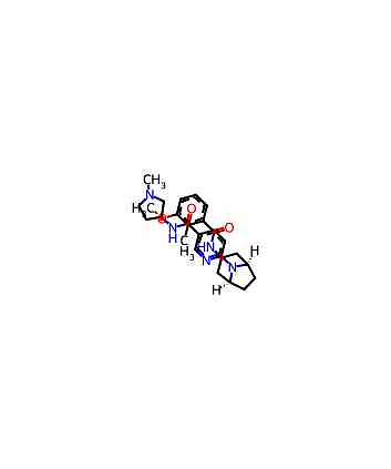 COc1cccc(C(=O)N[C@H]2C[C@H]3CC[C@@H](C2)N3c2ccc(C(=O)N[C@H]3CCN(C)C3)cn2)c1C